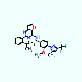 COc1cc(CNc2nc(-c3ccccc3C(C)C)nc3ccoc23)ccc1-n1nc(C(F)(F)F)cc1C